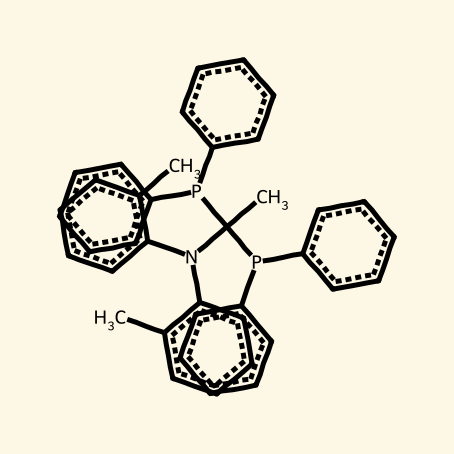 Cc1ccccc1N(c1ccccc1C)C(C)(P(c1ccccc1)c1ccccc1)P(c1ccccc1)c1ccccc1